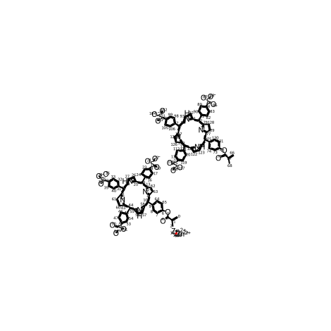 C=C(C)C(=O)Oc1ccc(-c2c3nc(c(-c4ccc(S(=O)(=O)[O-])cc4)c4ccc([nH]4)c(-c4ccc(S(=O)(=O)[O-])cc4)c4nc(c(-c5ccc(S(=O)(=O)[O-])cc5)c5ccc2[nH]5)C=C4)C=C3)cc1.C=C(C)C(=O)Oc1ccc(-c2c3nc(c(-c4ccc(S(=O)(=O)[O-])cc4)c4ccc([nH]4)c(-c4ccc(S(=O)(=O)[O-])cc4)c4nc(c(-c5ccc(S(=O)(=O)[O-])cc5)c5ccc2[nH]5)C=C4)C=C3)cc1.[Zn+2].[Zn+2].[Zn+2]